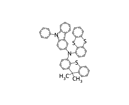 CC1(C)c2ccccc2Sc2c(N(c3ccc4c(c3)c3ccccc3n4-c3ccccc3)c3cccc4c3Sc3ccccc3S4)cccc21